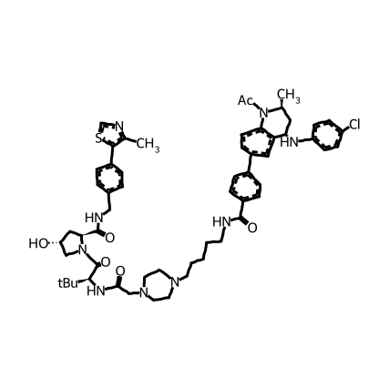 CC(=O)N1c2ccc(-c3ccc(C(=O)NCCCCCN4CCN(CC(=O)N[C@H](C(=O)N5C[C@H](O)C[C@H]5C(=O)NCc5ccc(-c6scnc6C)cc5)C(C)(C)C)CC4)cc3)cc2[C@H](Nc2ccc(Cl)cc2)C[C@@H]1C